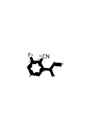 [CH2]C(C=C)c1cccc(F)c1C#N